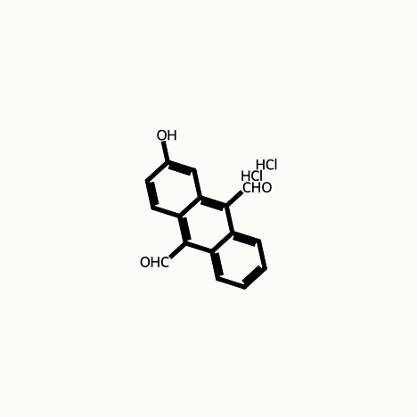 Cl.Cl.O=Cc1c2ccccc2c(C=O)c2cc(O)ccc12